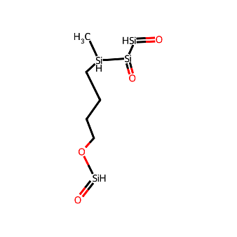 C[SiH](CCCCO[SiH]=O)[Si](=O)[SiH]=O